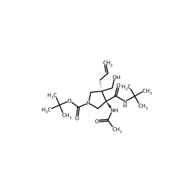 C=CC[C@@]1(CO)CN(C(=O)OC(C)(C)C)C[C@@]1(NC(C)=O)C(=O)NC(C)(C)C